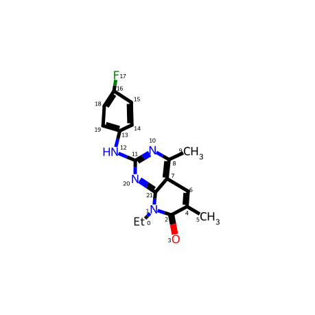 CCn1c(=O)c(C)cc2c(C)nc(Nc3ccc(F)cc3)nc21